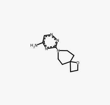 Nc1cnnc(N2CCC3(CCO3)CC2)n1